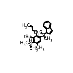 C=CCOc1c([Si](C)(C)C2C=Cc3ccccc32)cc(C)c([SiH](C)C)c1C(C)(C)C